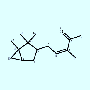 CC(=O)C(C)=CCC1CC2CC2(C)C1(C)C